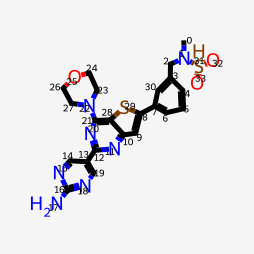 CN(Cc1cccc(-c2cc3nc(-c4cnc(N)nc4)nc(N4CCOCC4)c3s2)c1)[SH](=O)=O